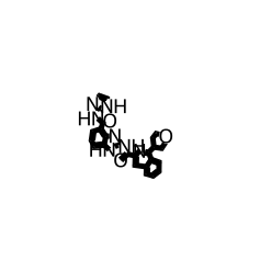 O=C(Nc1nc2c(C(=O)Nc3ncc[nH]3)cccc2[nH]1)c1cc2ccccc2c(C2CCOCC2)n1